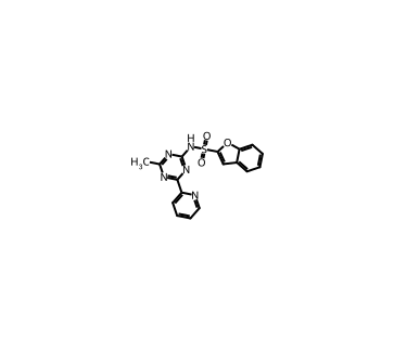 Cc1nc(NS(=O)(=O)c2cc3ccccc3o2)nc(-c2ccccn2)n1